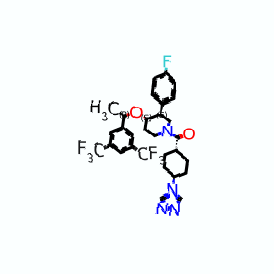 C[C@@H](O[C@H]1CCN(C(=O)[C@H]2CC[C@H](n3cnnc3)CC2)C[C@@H]1c1ccc(F)cc1)c1cc(C(F)(F)F)cc(C(F)(F)F)c1